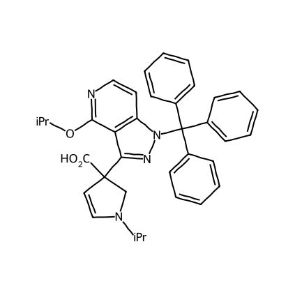 CC(C)Oc1nccc2c1c(C1(C(=O)O)C=CN(C(C)C)C1)nn2C(c1ccccc1)(c1ccccc1)c1ccccc1